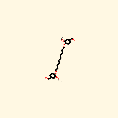 COc1cc(C=O)ccc1OCCCCCCCCCCOc1ccc(C=O)cc1OC